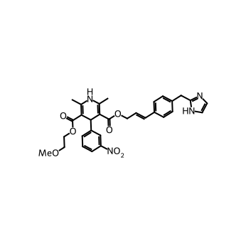 COCCOC(=O)C1=C(C)NC(C)=C(C(=O)OCC=Cc2ccc(Cc3ncc[nH]3)cc2)C1c1cccc([N+](=O)[O-])c1